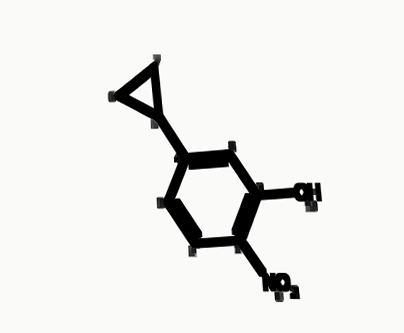 O=[N+]([O-])c1ccc(C2CC2)cc1O